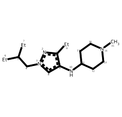 CCc1nn(CC(CC)CC)cc1NC1CCN(C)CC1